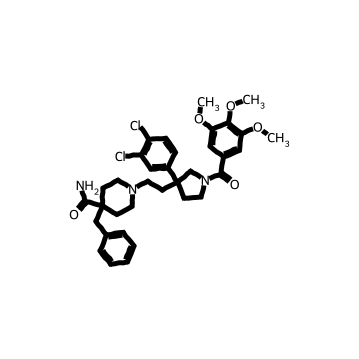 COc1cc(C(=O)N2CCC(CCN3CCC(Cc4ccccc4)(C(N)=O)CC3)(c3ccc(Cl)c(Cl)c3)C2)cc(OC)c1OC